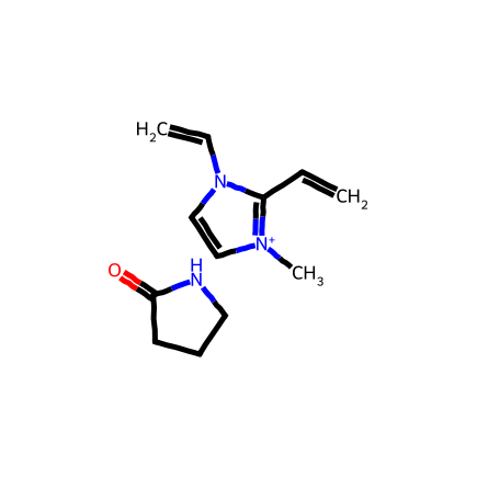 C=Cc1n(C=C)cc[n+]1C.O=C1CCCN1